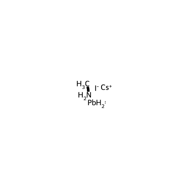 CN.[Cs+].[I-].[PbH2]